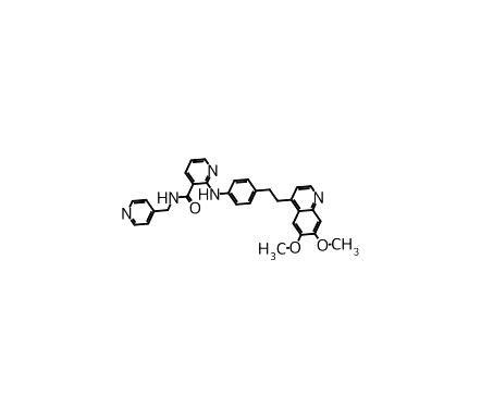 COc1cc2nccc(CCc3ccc(Nc4ncccc4C(=O)NCc4ccncc4)cc3)c2cc1OC